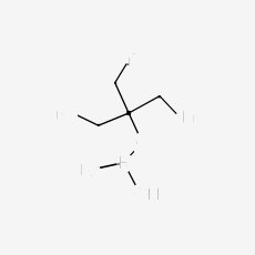 CC(C)CC(CC(C)C)(CC(C)C)OB(O)O